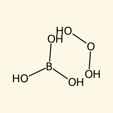 OB(O)O.OOO